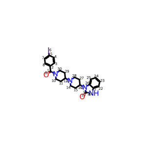 O=C(c1ccc(I)cc1)N1CCC(N2CCC(n3c(=O)[nH]c4ccccc43)CC2)CC1